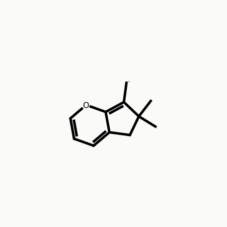 [CH2]C1=C2OC=CC=C2CC1(C)C